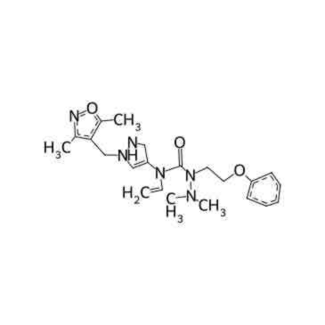 C=CN(C(=O)N(CCOc1ccccc1)N(C)C)C1=CN(Cc2c(C)noc2C)NC1